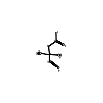 CC(=O)CC(O)(O)[C]=O